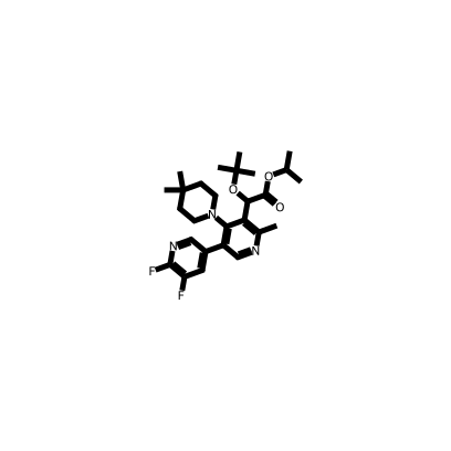 Cc1ncc(-c2cnc(F)c(F)c2)c(N2CCC(C)(C)CC2)c1C(OC(C)(C)C)C(=O)OC(C)C